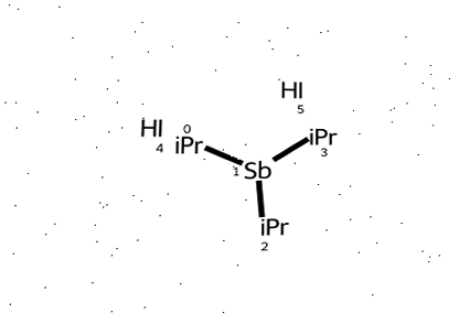 C[CH](C)[Sb]([CH](C)C)[CH](C)C.I.I